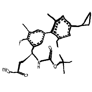 Cc1cc(-c2c(C)cc(C3CC3)cc2C)cc([C@H](CC(=O)O)NC(=O)OC(C)(C)C)c1F